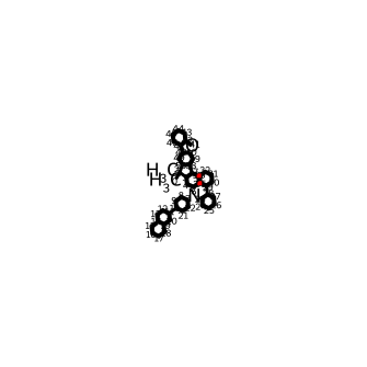 CC1(C)c2cc(N(c3ccc(-c4ccc5ccccc5c4)cc3)c3ccccc3-c3ccccc3)ccc2-c2cc3oc4ccccc4c3cc21